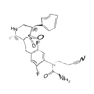 C[C@@H]1NC[C@@H](c2ccccc2)S(=O)(=O)C1Cc1cc(F)c([C@H](CCC#N)C(N)=O)cc1F